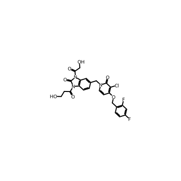 O=C(CO)n1c(=O)n(C(=O)CCO)c2ccc(Cn3ccc(OCc4ccc(F)cc4F)c(Cl)c3=O)cc21